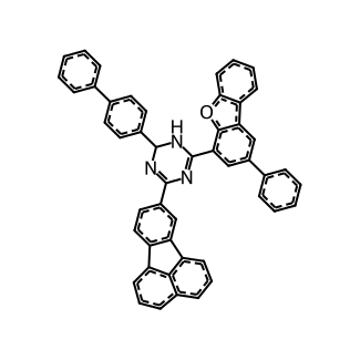 c1ccc(-c2ccc(C3N=C(c4ccc5c(c4)-c4cccc6cccc-5c46)N=C(c4cc(-c5ccccc5)cc5c4oc4ccccc45)N3)cc2)cc1